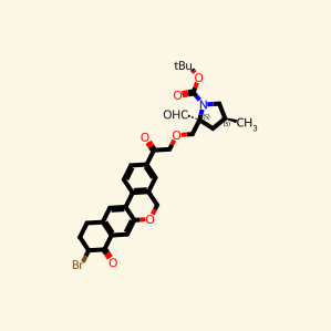 C[C@@H]1CN(C(=O)OC(C)(C)C)[C@](C=O)(COCC(=O)c2ccc3c(c2)COc2cc4c(cc2-3)CCC(Br)C4=O)C1